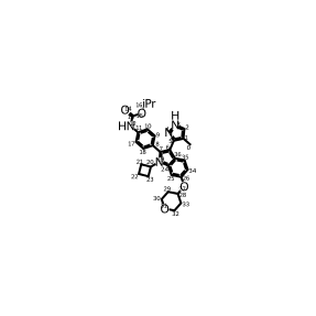 Cc1c[nH]nc1-c1c(-c2ccc(NC(=O)OC(C)C)cc2)n(C2CCC2)c2cc(OC3CCOCC3)ccc12